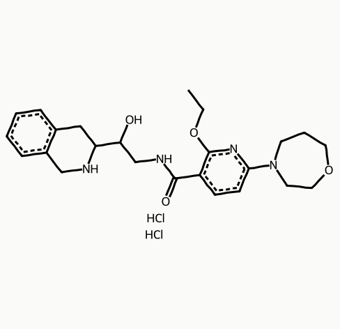 CCOc1nc(N2CCCOCC2)ccc1C(=O)NCC(O)C1Cc2ccccc2CN1.Cl.Cl